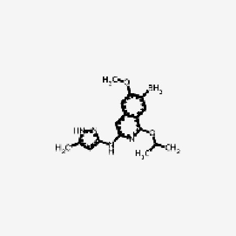 Bc1cc2c(OC(C)C)nc(Nc3cc(C)[nH]n3)cc2cc1OC